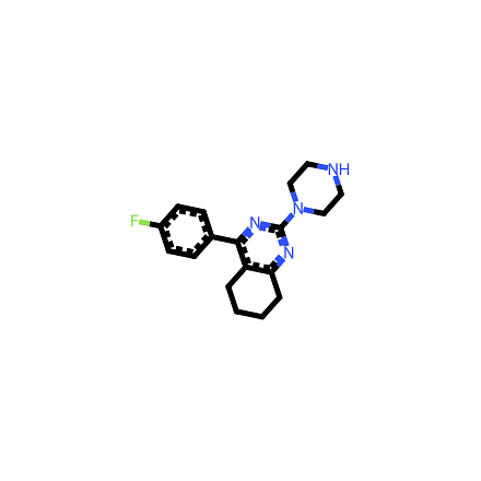 Fc1ccc(-c2nc(N3CCNCC3)nc3c2CCCC3)cc1